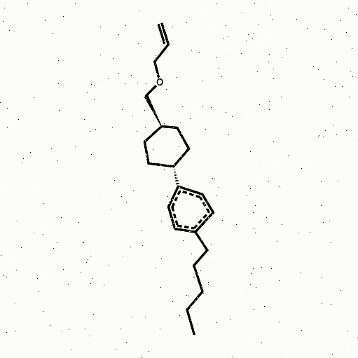 C=CCOC[C@H]1CC[C@H](c2ccc(CCCCC)cc2)CC1